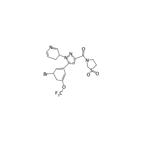 O=C(c1cc(C2=CC(Br)CC(OC(F)(F)F)=C2)n(C2C=NC=CC2)n1)N1CCS(=O)(=O)C1